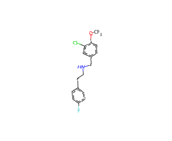 Fc1ccc(CCNCc2ccc(OC(F)(F)F)c(Cl)c2)cc1